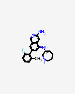 Cc1cccc(F)c1-c1cc(N[C@@H]2CCCCNC2)c2cc(N)ncc2c1